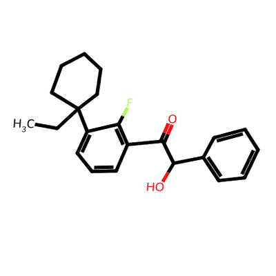 CCC1(c2cccc(C(=O)C(O)c3ccccc3)c2F)CCCCC1